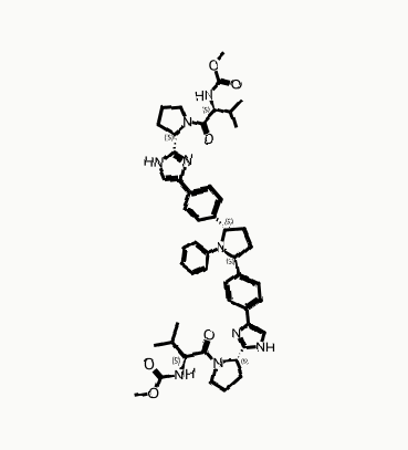 COC(=O)N[C@H](C(=O)N1CCC[C@H]1c1nc(-c2ccc([C@@H]3CC[C@@H](c4ccc(-c5c[nH]c([C@@H]6CCCN6C(=O)[C@@H](NC(=O)OC)C(C)C)n5)cc4)N3c3ccccc3)cc2)c[nH]1)C(C)C